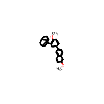 COc1ccc2cc(-c3ccc(OC)c(C45CC6CC(CC(C6)C4)C5)c3)ccc2c1